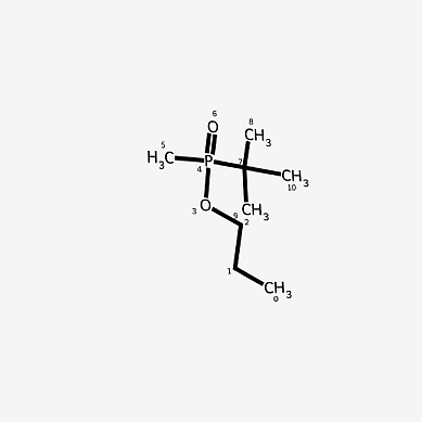 CCCOP(C)(=O)C(C)(C)C